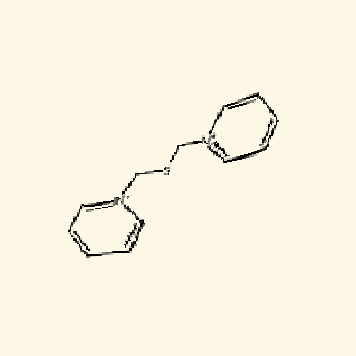 c1cc[n+](CSC[n+]2ccccc2)cc1